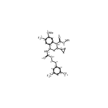 COc1cc2c(cc1C(F)(F)F)C(NC(=O)OCCc1cc(C(F)(F)F)cc(C(F)(F)F)c1)CC(C1CC1)N2C(=O)OC(C)C